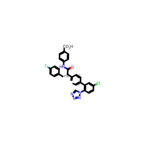 C=C(/C=C\C(=C/C)c1cc(Cl)ccc1-n1cnnn1)[C@H](Cc1ccc(F)cc1)C(=O)Nc1ccc(C(=O)O)cc1